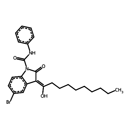 CCCCCCCCCC(O)=C1C(=O)N(C(=O)Nc2ccccc2)c2ccc(Br)cc21